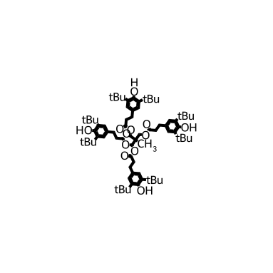 CC(C)(C)c1cc(CCC(=O)OCC(C)(COC(=O)CCc2cc(C(C)(C)C)c(O)c(C(C)(C)C)c2)C(OC(=O)CCc2cc(C(C)(C)C)c(O)c(C(C)(C)C)c2)OC(=O)CCc2cc(C(C)(C)C)c(O)c(C(C)(C)C)c2)cc(C(C)(C)C)c1O